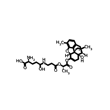 Cc1ccc2c3c1O[C@H]1C(OC(=O)[C@H](C)OC(=O)CCNC(O)CC[C@H](N)C(=O)O)=CC[C@@]4(O)[C@@H](C2)N(C)CC[C@]314